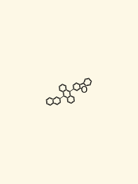 c1ccc2cc(-c3c4ccccc4c(-c4ccc5c(c4)oc4ccccc45)c4ccccc34)ccc2c1